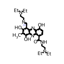 CCN(CC)CC/N=C/c1c(O)c(C)c(O)c2nc3c(C(=O)NCCN(CC)CC)ccc(O)c3nc12